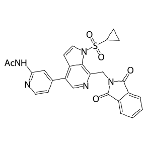 CC(=O)Nc1cc(-c2cnc(CN3C(=O)c4ccccc4C3=O)c3c2ccn3S(=O)(=O)C2CC2)ccn1